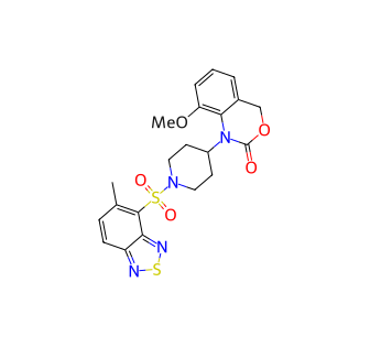 COc1cccc2c1N(C1CCN(S(=O)(=O)c3c(C)ccc4nsnc34)CC1)C(=O)OC2